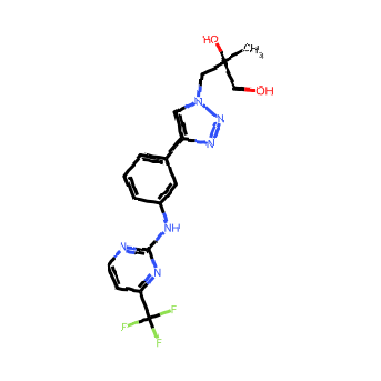 CC(O)(CO)Cn1cc(-c2cccc(Nc3nccc(C(F)(F)F)n3)c2)nn1